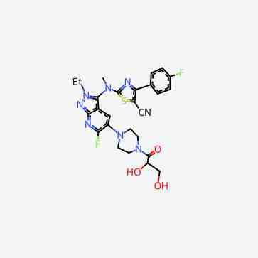 CCn1nc2nc(F)c(N3CCN(C(=O)C(O)CO)CC3)cc2c1N(C)c1nc(-c2ccc(F)cc2)c(C#N)s1